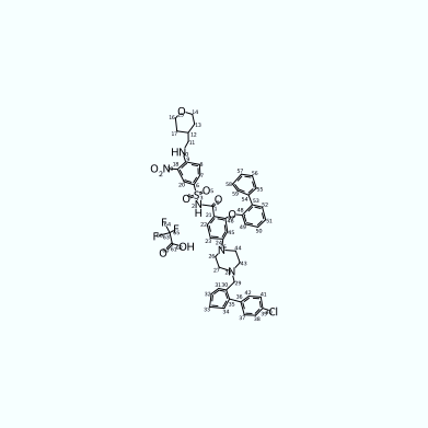 O=C(NS(=O)(=O)c1ccc(NCC2CCOCC2)c([N+](=O)[O-])c1)c1ccc(N2CCN(Cc3ccccc3-c3ccc(Cl)cc3)CC2)cc1Oc1ccccc1-c1ccccc1.O=C(O)C(F)(F)F